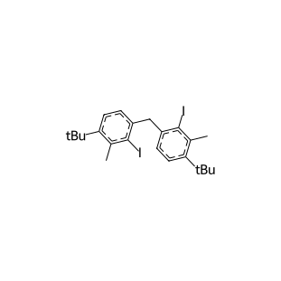 Cc1c(C(C)(C)C)ccc(Cc2ccc(C(C)(C)C)c(C)c2I)c1I